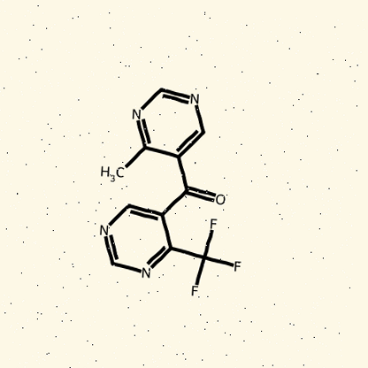 Cc1ncncc1C(=O)c1cncnc1C(F)(F)F